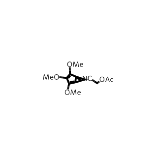 CC(=O)OCC#N.COc1c2cc-2c(OC)c1OC